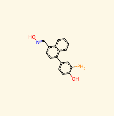 O/N=C/c1ccc(-c2ccc(O)c(P)c2)c2ccccc12